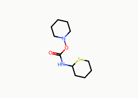 O=C(NC1CCCCS1)ON1CCCCC1